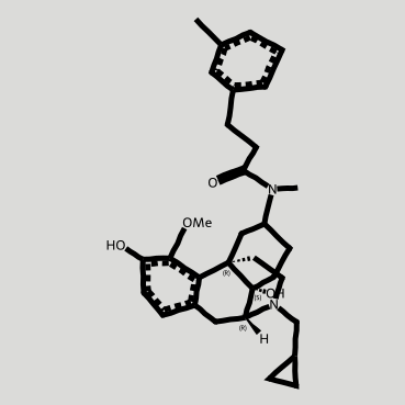 COc1c(O)ccc2c1[C@]13CCN(CC4CC4)[C@H](C2)[C@]1(O)CCC(N(C)C(=O)CCc1cccc(C)c1)C3